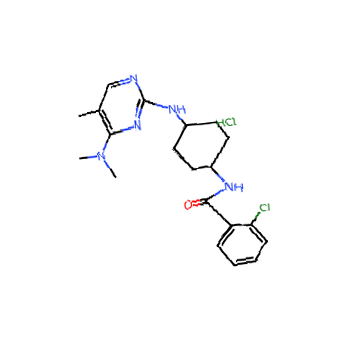 Cc1cnc(NC2CCC(NC(=O)c3ccccc3Cl)CC2)nc1N(C)C.Cl